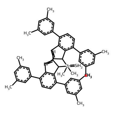 CCC1=Cc2c(-c3cc(C)cc(C)c3)ccc(-c3cc(C)cc(C)c3)c2[CH]1[Zr]([CH3])([CH3])(=[SiH2])[CH]1C(CC)=Cc2c(-c3cc(C)cc(C)c3)ccc(-c3cc(C)cc(C)c3)c21